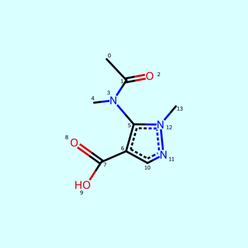 CC(=O)N(C)c1c(C(=O)O)cnn1C